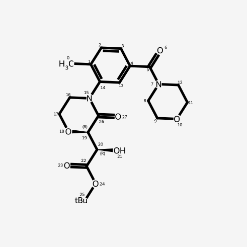 Cc1ccc(C(=O)N2CCOCC2)cc1N1CCO[C@H]([C@@H](O)C(=O)OC(C)(C)C)C1=O